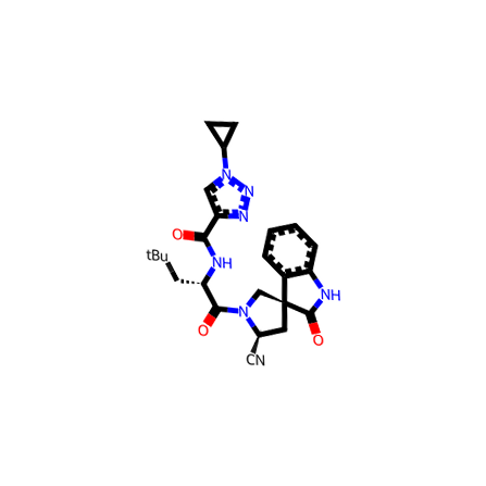 CC(C)(C)C[C@H](NC(=O)c1cn(C2CC2)nn1)C(=O)N1C[C@]2(C[C@H]1C#N)C(=O)Nc1ccccc12